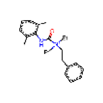 CC[N+](CC)(CCc1ccccc1)C(=O)Nc1c(C)cccc1C